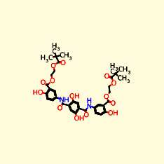 CC(C)(C)C(=O)OCCOC(=O)c1cc(NC(=O)c2cc(O)c(C(=O)Nc3ccc(O)c(C(=O)OCCOC(=O)C(C)(C)C)c3)cc2O)ccc1O